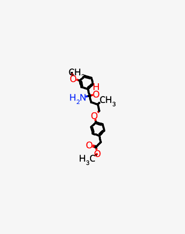 COC(=O)Cc1ccc(OCC(C)CC(N)(O)c2cccc(OC)c2)cc1